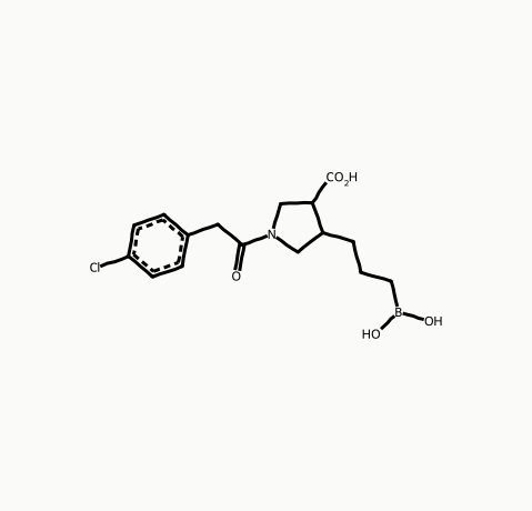 O=C(O)C1CN(C(=O)Cc2ccc(Cl)cc2)CC1CCCB(O)O